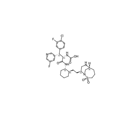 O=C(O)N[C@H](C(=O)N[C@H]1CCCC[C@@H]1CC[C@H]1CN[C@@H]2CCCS(=O)(=O)N1C2)[C@H](c1cncc(F)c1)c1ccc(Cl)c(F)c1